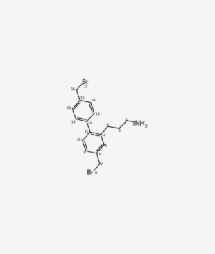 NCCCc1cc(CBr)ccc1-c1ccc(CBr)cc1